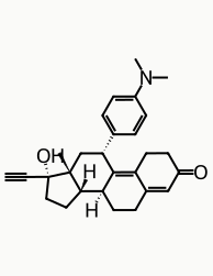 C#C[C@]1(O)CC[C@H]2[C@@H]3CCC4=CC(=O)CCC4=C3[C@@H](c3ccc(N(C)C)cc3)C[C@]21C